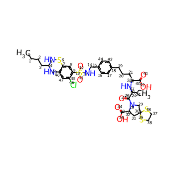 CCCCC1NSc2cc(S(=O)(=O)NCc3ccc(CCC[C@H](N[C@@H](C)C(=O)N4CC5(C[C@H]4C(=O)O)SCCS5)C(=O)O)cc3)c(Cl)cc2N1